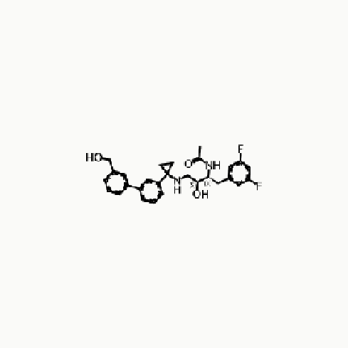 CC(=O)N[C@@H](Cc1cc(F)cc(F)c1)[C@@H](O)CNC1(c2cccc(-c3cccc(CO)c3)c2)CC1